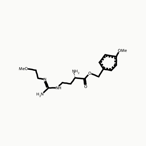 COCCN=C(N)NCC[C@H](N)C(=O)OCc1ccc(OC)cc1